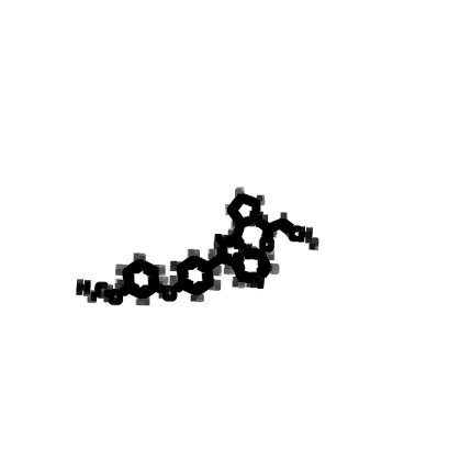 C=CC(=O)N1CCCC1c1nc(-c2ccc(Oc3cccc(OC)c3)cc2)c2cnccn12